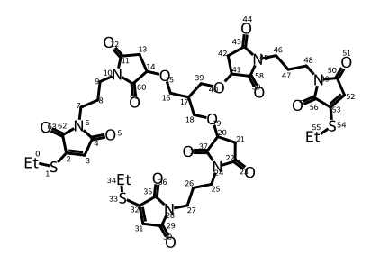 CCSC1=CC(=O)N(CCCN2C(=O)CC(OCC(COC3CC(=O)N(CCCN4C(=O)C=C(SCC)C4=O)C3=O)COC3CC(=O)N(CCCN4C(=O)C=C(SCC)C4=O)C3=O)C2=O)C1=O